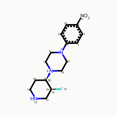 O=[N+]([O-])c1ccc(N2CCN([C@@H]3CCNC[C@@H]3F)CC2)cc1